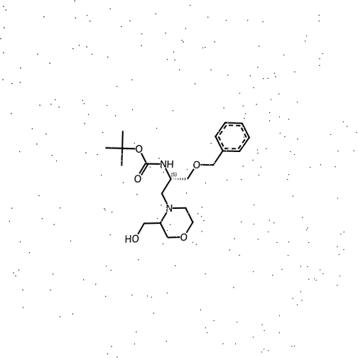 CC(C)(C)OC(=O)N[C@H](COCc1ccccc1)CN1CCOCC1CO